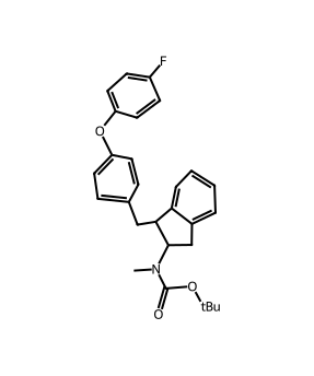 CN(C(=O)OC(C)(C)C)C1Cc2ccccc2C1Cc1ccc(Oc2ccc(F)cc2)cc1